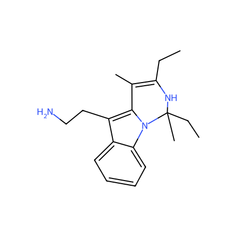 CCC1=C(C)c2c(CCN)c3ccccc3n2C(C)(CC)N1